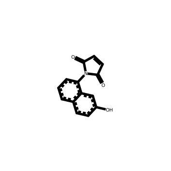 O=C1C=CC(=O)N1c1cccc2ccc(O)cc12